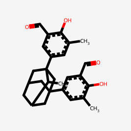 Cc1cc(C23CC4CC(C2)C(C)C(c2cc(C)c(O)c(C=O)c2)(C4)C3)cc(C=O)c1O